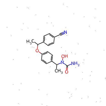 CC(Oc1ccc(C(C)N(O)C(N)=O)cc1)c1ccc(C#N)cc1